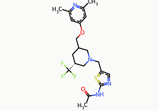 CC(=O)Nc1ncc(CN2CC(COc3cc(C)nc(C)c3)C[C@@H](C(F)(F)F)C2)s1